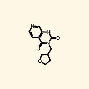 O=c1[nH]c2cnccc2c(=O)n1CC1CCOC1